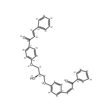 O=C(/C=C\c1ccc(OC[C@@H](O)COc2ccc(C(=O)/C=C/c3ccccc3)cc2)cc1)c1ccccc1